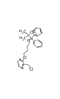 CC(C)(C)[Si](OCCCCOc1nccnc1CCl)(c1ccccc1)c1ccccc1